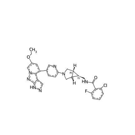 CCOc1cc(-c2ccc(N3C[C@@H]4[C@@H](CNC(=O)c5c(F)cccc5Cl)[C@@H]4C3)nc2)c2c3cn[nH]c3nn2c1